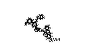 COc1cc(C)c(S(=O)(=O)N(CCOCC(=O)N2CCC(OCCN3CCCC3)(c3cccc(F)c3)CC2)c2ccccc2)c(C)c1